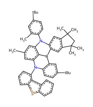 Cc1cc2c3c(c1)N(c1cccc4sc5ccccc5c14)c1ccc(C(C)(C)C)cc1B3c1cc3c(cc1N2c1ccc(C(C)(C)C)cc1C)C(C)(C)CC3(C)C